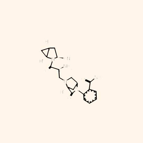 N#C[C@@H]1C[C@@H]2C[C@@H]2N1C(=O)[C@@H](N)CN1CC2C[C@H]1C(=O)N2c1ccccc1C(N)=O